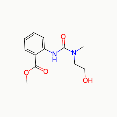 COC(=O)c1ccccc1NC(=O)N(C)CCO